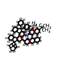 CC(C)(C)c1cc(-c2cccc3cccc(-c4ccccc4N(c4ccc5c(c4)C(c4ccccc4)(c4ccccc4)c4ccccc4-5)c4ccccc4-c4ccc5c(c4)C4(c6ccccc6-5)C5CC6CC7CC4C75C6)c23)cc(C(C)(C)C)c1